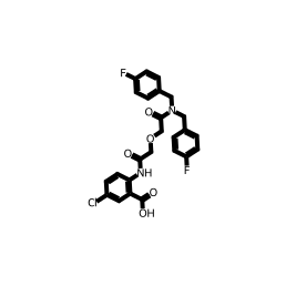 O=C(COCC(=O)N(Cc1ccc(F)cc1)Cc1ccc(F)cc1)Nc1ccc(Cl)cc1C(=O)O